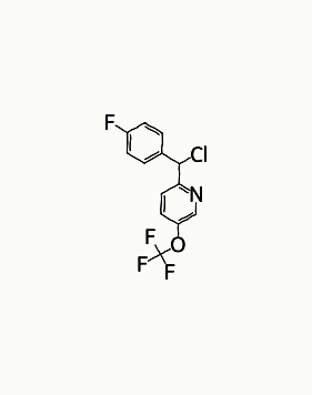 Fc1ccc(C(Cl)c2ccc(OC(F)(F)F)cn2)cc1